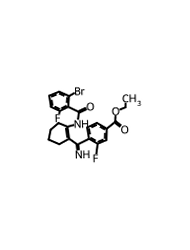 CCOC(=O)c1ccc(C(=N)C2=C(NC(=O)c3c(F)cccc3Br)CCCC2)c(F)c1